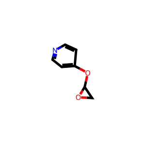 c1cc(OC2CO2)ccn1